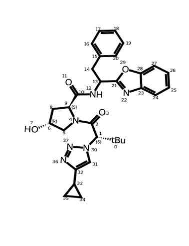 CC(C)(C)[C@@H](C(=O)N1C[C@H](O)C[C@H]1C(=O)NC(Cc1ccccc1)c1nc2ccccc2o1)n1cc(C2CC2)nn1